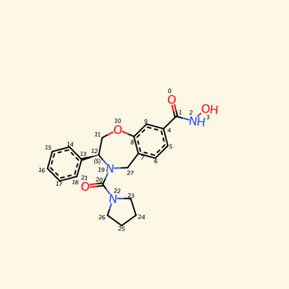 O=C(NO)c1ccc2c(c1)OC[C@H](c1ccccc1)N(C(=O)N1CCCC1)C2